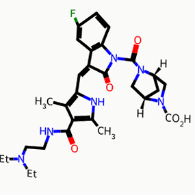 CCN(CC)CCNC(=O)c1c(C)[nH]c(C=C2C(=O)N(C(=O)N3C[C@@H]4C[C@H]3CN4C(=O)O)c3ccc(F)cc32)c1C